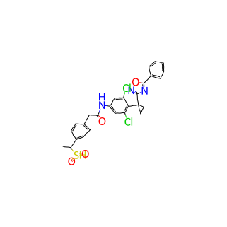 CC(c1ccc(CC(=O)Nc2cc(Cl)c(C3(c4noc(-c5ccccc5)n4)CC3)c(Cl)c2)cc1)[SH](=O)=O